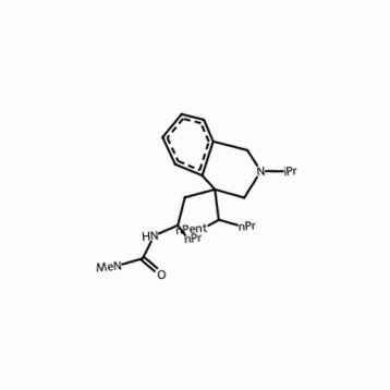 CCCCCC(CCC)C1(CC(CCC)NC(=O)NC)CN(C(C)C)Cc2ccccc21